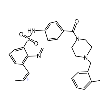 C=Nc1c(/C=C\C)cccc1S(=O)(=O)Nc1ccc(C(=O)N2CCN(Cc3ccccc3C)CC2)cc1